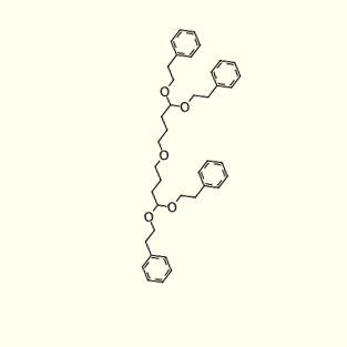 c1ccc(CCOC(CCCOCCCC(OCCc2ccccc2)OCCc2ccccc2)OCCc2ccccc2)cc1